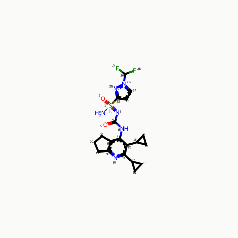 N[S@@](=O)(=NC(=O)Nc1c2c(nc(C3CC3)c1C1CC1)CCC2)c1ccn(C(F)F)n1